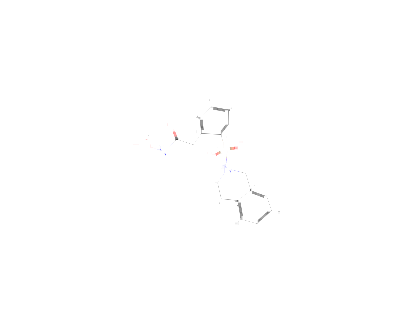 O=C(Cc1ccccc1S(=O)(=O)N1CCc2ccccc2C1)NO